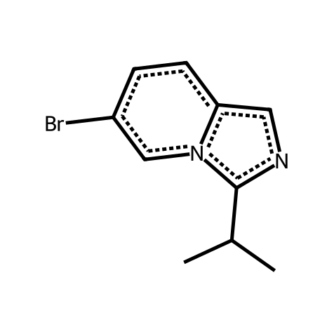 CC(C)c1ncc2ccc(Br)cn12